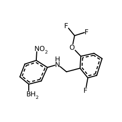 Bc1ccc([N+](=O)[O-])c(NCc2c(F)cccc2OC(F)F)c1